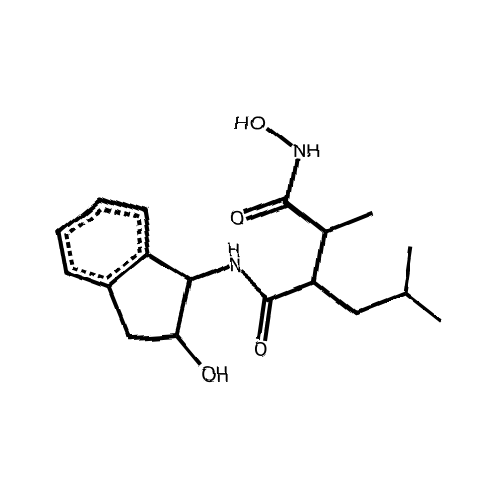 CC(C)CC(C(=O)NC1c2ccccc2CC1O)C(C)C(=O)NO